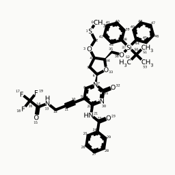 CSCOC1C[C@H](n2cc(C#CCNC(=O)C(F)(F)F)c(NC(=O)c3ccccc3)nc2=O)O[C@@H]1CO[Si](c1ccccc1)(c1ccccc1)C(C)(C)C